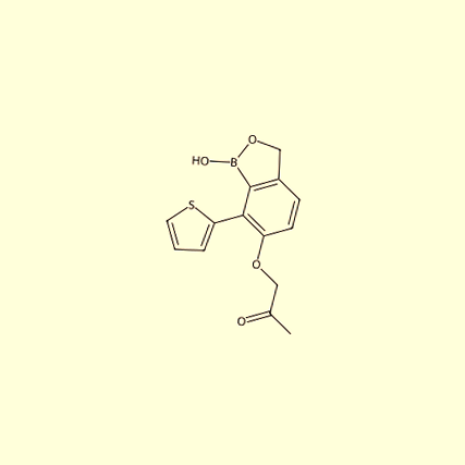 CC(=O)COc1ccc2c(c1-c1cccs1)B(O)OC2